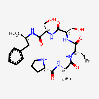 CC[C@H](C)[C@H](NC(=O)[C@@H]1CCCN1)C(=O)N[C@@H](CC(C)C)C(=O)N[C@@H](CO)C(=O)N[C@@H](CO)C(=O)N[C@@H](Cc1ccccc1)C(=O)O